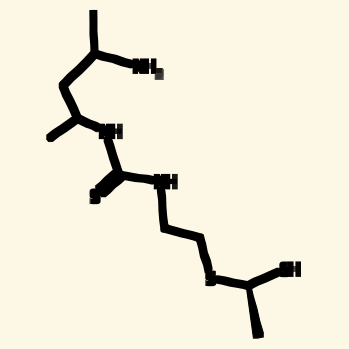 CC(N)CC(C)NC(=S)NCCS[C@H](C)S